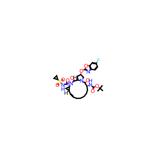 CC(C)(C)OC(=O)N[C@H]1CCCCC/C=C\[C@@H]2C[C@@]2(C(=O)NS(=O)(=O)C2CC2)NC(=O)[C@@H]2C[C@@H](Oc3nc4ccc(F)cc4o3)CN2C1=O